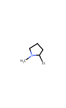 CCC1CCCN1C